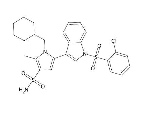 Cc1c(S(N)(=O)=O)cc(-c2cn(S(=O)(=O)c3ccccc3Cl)c3ccccc23)n1CC1CCCCC1